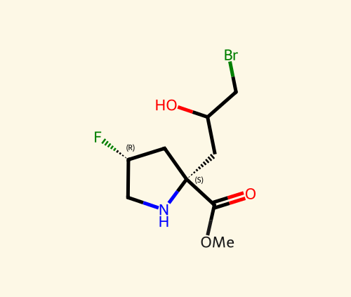 COC(=O)[C@]1(CC(O)CBr)C[C@@H](F)CN1